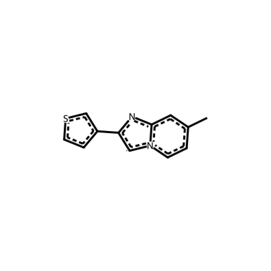 Cc1ccn2[c]c(-c3ccsc3)nc2c1